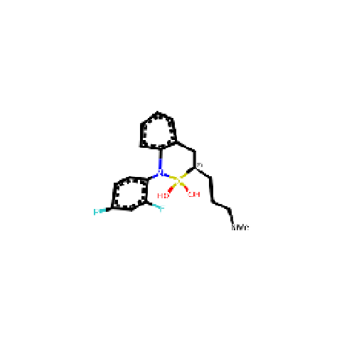 CNCCC[C@@H]1Cc2ccccc2N(c2ccc(F)cc2F)S1(O)O